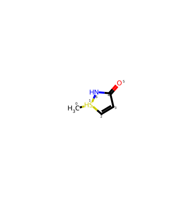 C[SH]1C=CC(=O)N1